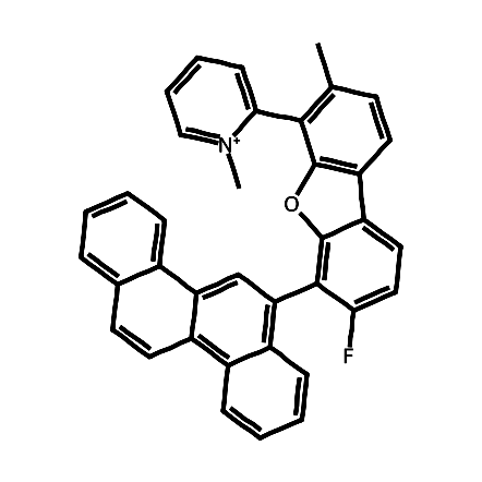 Cc1ccc2c(oc3c(-c4cc5c6ccccc6ccc5c5ccccc45)c(F)ccc32)c1-c1cccc[n+]1C